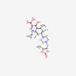 Cc1oc(=O)oc1CN1CCN(c2c(F)c(C)c3c(=O)c(C(=O)O)cn(C4CC4)c3c2F)CC1